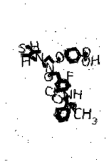 Cn1cc(C(=O)Nc2cc(F)c(CC(=O)N3C[C@@H](N4C[C@H]5CSC[C@H]5C4)C[C@H]3CO[C@H]3CC[C@H](C(=O)O)CC3)cc2Cl)c2ccccc21